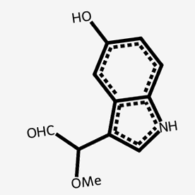 COC(C=O)c1c[nH]c2ccc(O)cc12